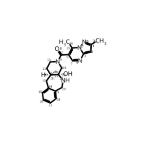 Cc1cc2ncc(C(=O)N3CC[C@@H]4Cc5ccccc5CN[C@]4(O)C3)c(C)n2n1